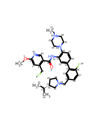 COc1cc(CF)c(C(=O)Nc2cc(-c3cc(CN4CC[C@@H](C(C)C)C4)ccc3F)ccc2N2CCN(C)CC2)cn1